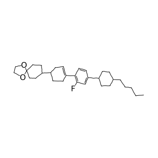 CCCCCC1CCC(c2ccc(C3=CCC(C4CCC5(CC4)OCCO5)CC3)c(F)c2)CC1